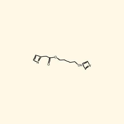 C1=CN=C1.O=C(CC1=NC=C1)OCCCCO